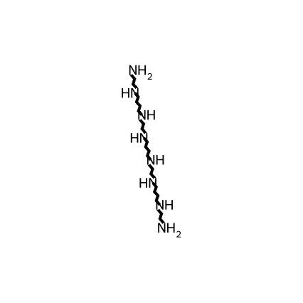 NCCCCNCCCCNCCCCNCCCCNCCCCNCCCCNCCCCN